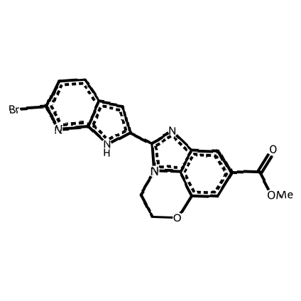 COC(=O)c1cc2c3c(c1)nc(-c1cc4ccc(Br)nc4[nH]1)n3CCO2